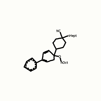 CCCCCCCCOC1(C2CCC(C#N)(CCCCCCC)CC2)C=CC(c2ccccc2)=CC1